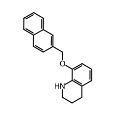 c1cc2c(c(OCc3ccc4ccccc4c3)c1)NCCC2